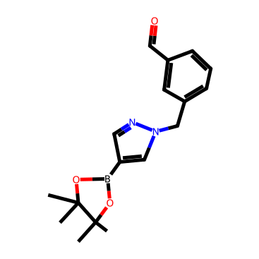 CC1(C)OB(c2cnn(Cc3cccc(C=O)c3)c2)OC1(C)C